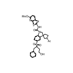 COc1ccc2nc(NC(=O)N3CC4(CCN(C(C)=O)C4)c4cc(S(=O)(=O)N(CCO)Cc5ccccc5)ccc43)sc2n1